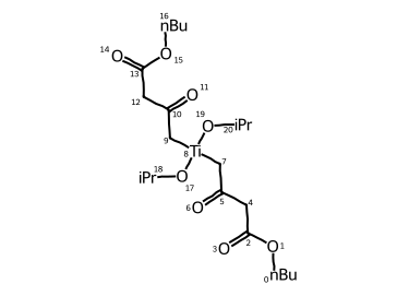 CCCCOC(=O)CC(=O)[CH2][Ti]([CH2]C(=O)CC(=O)OCCCC)([O]C(C)C)[O]C(C)C